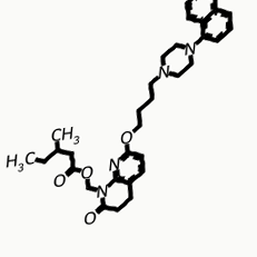 CCC(C)CC(=O)OCN1C(=O)CCc2ccc(OCCCCN3CCN(c4cccc5ccccc45)CC3)nc21